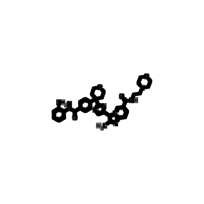 Cc1nc2ccc(C(=O)NCCN3CCOCC3)cn2c1-c1csc(C2(c3ccc(C(=O)Nc4ccccc4N)cc3)CCOCC2)n1